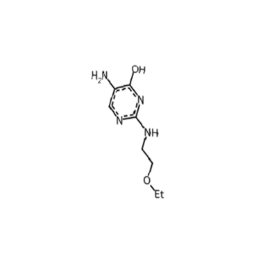 CCOCCNc1ncc(N)c(O)n1